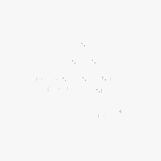 N.Nc1nc(N)nc(N)n1.O=P(O)(O)O.OB(O)O